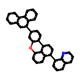 c1cnc2c(-c3ccc4c5c(cccc35)Oc3cc(-c5cc6ccccc6c6ccccc56)ccc3-4)cccc2c1